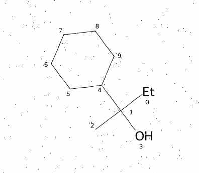 CCC(C)(O)C1CCCCC1